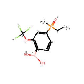 CCP(C)(=O)c1ccc(B(O)O)c(OC(F)(F)F)c1